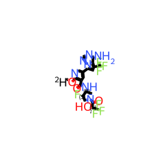 [2H]COc1ncc(-c2cc(C(F)(F)F)c3c(N)ncnn23)cc1C(=O)N[C@@H]1CN(C(=O)[C@](C)(O)C(F)(F)F)C[C@@H]1F